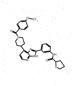 O=C(Nc1cccc(-c2nc3c(C4CCN(C(=O)c5ccc(OC(F)(F)F)cc5)CC4)ccnc3[nH]2)c1)C1CCCO1